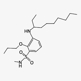 CCCCCCCC(CC)Nc1cccc(S(=O)(=O)NC)c1OCCC